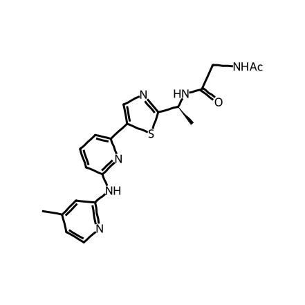 CC(=O)NCC(=O)N[C@@H](C)c1ncc(-c2cccc(Nc3cc(C)ccn3)n2)s1